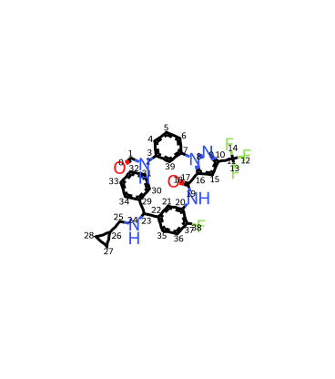 O=CNc1cccc(-n2nc(C(F)(F)F)cc2C(=O)Nc2cc(C(NCC3CC3)c3ccccc3)ccc2F)c1